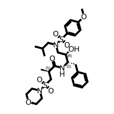 COc1ccc(S(=O)(=O)N(CC(C)C)C[C@@H](O)[C@H](Cc2ccccc2)NC(=O)[C@H](C)CS(=O)(=O)N2CCOCC2)cc1